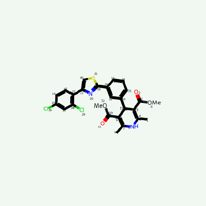 COC(=O)C1=C(C)NC(C)=C(C(=O)OC)C1c1cccc(-c2nc(-c3ccc(Cl)cc3Cl)cs2)c1